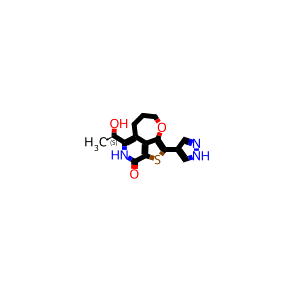 C[C@H](O)c1[nH]c(=O)c2sc(-c3cn[nH]c3)c3c2c1CCCO3